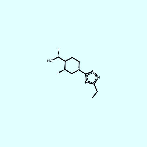 CCc1noc(N2CCC([C@@H](C)O)[C@H](F)C2)n1